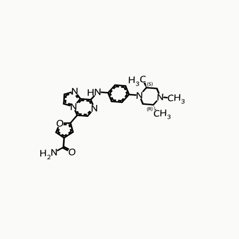 C[C@@H]1CN(c2ccc(Nc3ncc(-c4cc(C(N)=O)co4)n4ccnc34)cc2)[C@@H](C)CN1C